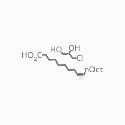 CCCCCCCC/C=C\CCCCCCCC(=O)O.OCC(O)CCl